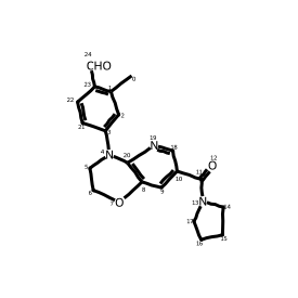 Cc1cc(N2CCOc3cc(C(=O)N4CCCC4)cnc32)ccc1C=O